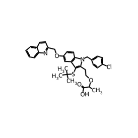 CC(OCCc1c(SC(C)(C)C)c2cc(OCc3ccc4ccccc4n3)ccc2n1Cc1ccc(Cl)cc1)C(=O)O